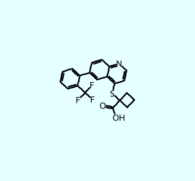 O=C(O)C1(Sc2ccnc3ccc(-c4ccccc4C(F)(F)F)cc23)CCC1